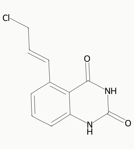 O=c1[nH]c(=O)c2c(/C=C/CCl)cccc2[nH]1